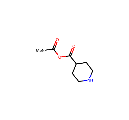 CNC(=O)OC(=O)C1CCNCC1